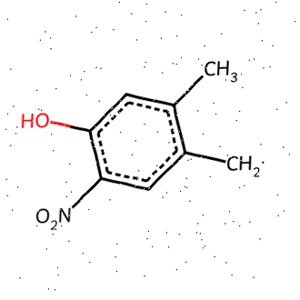 [CH2]c1cc([N+](=O)[O-])c(O)cc1C